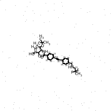 C[C@@H](OC(C)(C)C)[C@H](NC(=O)c1ccc(C#Cc2ccc(CNCC(C)(F)F)cc2)cc1)C(O)NO